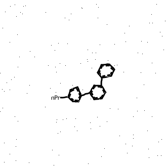 CCCc1ccc(-c2cccc(-c3ccccc3)c2)cc1